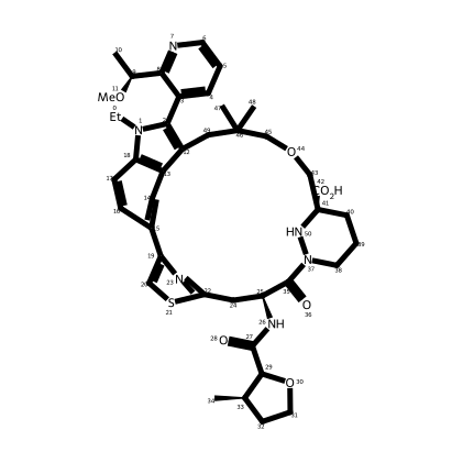 CCn1c(-c2cccnc2[C@H](C)OC)c2c3cc(ccc31)-c1csc(n1)C[C@H](NC(=O)C1OCC[C@H]1C)C(=O)N1CCC[C@@](C(=O)O)(COCC(C)(C)C2)N1